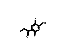 COC(=O)c1cc(F)c(O)nc1Cl